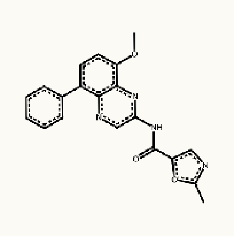 COc1ccc(-c2ccccc2)c2ncc(NC(=O)c3cnc(C)o3)nc12